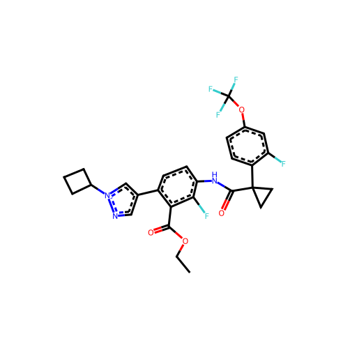 CCOC(=O)c1c(-c2cnn(C3CCC3)c2)ccc(NC(=O)C2(c3ccc(OC(F)(F)F)cc3F)CC2)c1F